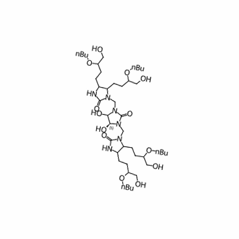 CCCCOC(CO)CCC1NC(=O)N(CN2C(=O)N(CN3C(=O)NC(CCC(CO)OCCCC)C3CCC(CO)OCCCC)[C@@H](O)C2O)C1CCC(CO)OCCCC